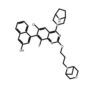 Oc1cc(-c2c(Cl)cc3c(N4CC5CCC(C4)N5)nc(OCCCN4C5COCC4C5)nc3c2F)c2ccccc2c1